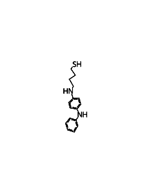 SCCCCNc1ccc(Nc2ccccc2)cc1